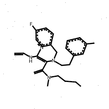 C=CN/C(N=C)=C(\C(=C)N(C)CCCC)N(CCc1cccc(C)c1)Cc1ccc(F)cc1